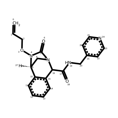 C=CCON1C(=O)N2C[C@H]1c1ccccc1C2C(=O)NCc1ccncc1